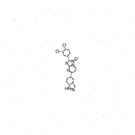 [O-][n+]1c(-c2ccc(Cl)c(Cl)c2)nc2nc(-c3ccc4[nH]ncc4c3)ccn21